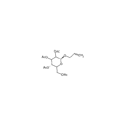 C=CCO[C@H]1OC(COC(C)=O)[C@H](OC(C)=O)C(OC(C)=O)C1OC(C)=O